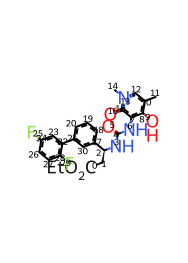 CCOC(=O)C[C@H](NC(=O)Nc1c(O)c(C)cn(C)c1=O)c1cccc(-c2cc(F)ccc2F)c1